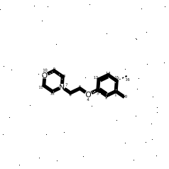 CC1C=C(OCCN2CCOCC2)C=C[C@@H]1C